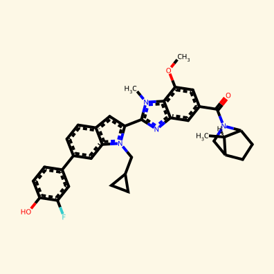 COc1cc(C(=O)N2CC3CCC2[C@@H]3C)cc2nc(-c3cc4ccc(-c5ccc(O)c(F)c5)cc4n3CC3CC3)n(C)c12